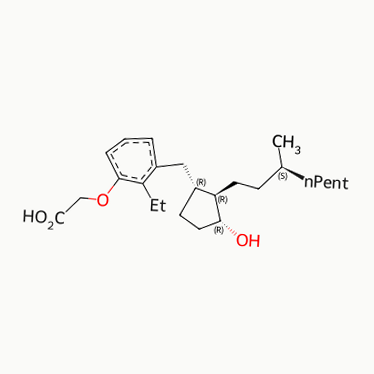 CCCCC[C@H](C)CC[C@@H]1[C@@H](Cc2cccc(OCC(=O)O)c2CC)CC[C@H]1O